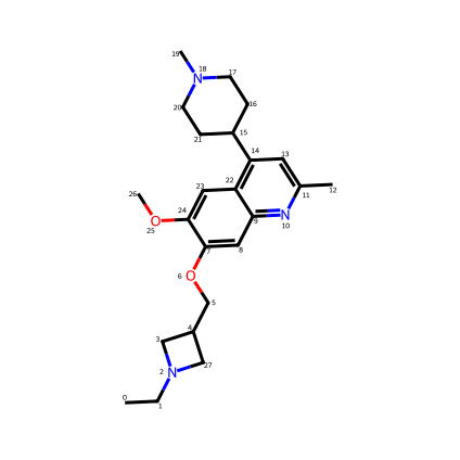 CCN1CC(COc2cc3nc(C)cc(C4CCN(C)CC4)c3cc2OC)C1